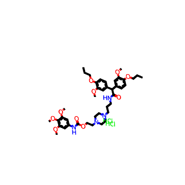 CCCOc1ccc(C(C(=O)NCCCN2CCN(CCOC(=O)Nc3cc(OC)c(OC)c(OC)c3)CC2)c2ccc(OCCC)c(OC)c2)cc1OC.Cl.Cl